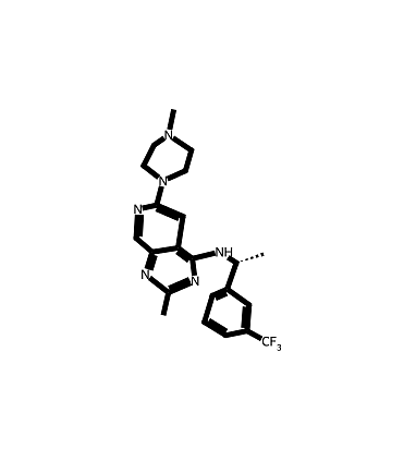 Cc1nc(N[C@H](C)c2cccc(C(F)(F)F)c2)c2cc(N3CCN(C)CC3)ncc2n1